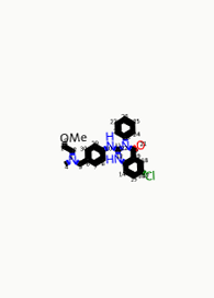 COCCN(C)Cc1ccc(NC2Nc3ccc(Cl)cc3C(=O)N2c2ccccc2)cc1